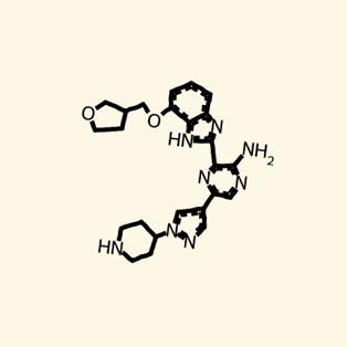 Nc1ncc(-c2cnn(C3CCNCC3)c2)nc1-c1nc2cccc(OCC3CCOC3)c2[nH]1